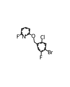 Fc1cccc(OCc2cc(F)c(Br)cc2Cl)n1